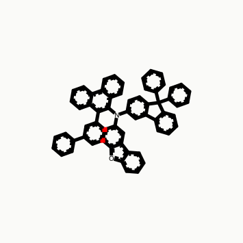 c1ccc(-c2cccc(-c3c(N(c4ccc5c(c4)-c4ccccc4C5(c4ccccc4)c4ccccc4)c4ccc5oc6ccccc6c5c4)c4ccccc4c4ccccc34)c2)cc1